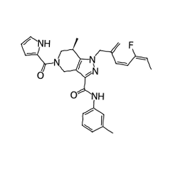 C=C(/C=C\C(F)=C/C)Cn1nc(C(=O)Nc2cccc(C)c2)c2c1[C@H](C)CN(C(=O)c1ccc[nH]1)C2